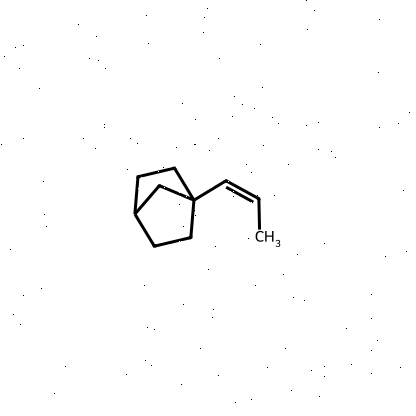 C/C=C\C12CCC(CC1)C2